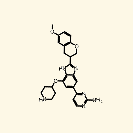 COc1ccc2c(c1)CC(c1nc3cc(-c4ccnc(N)n4)cc(OC4CCNCC4)c3[nH]1)CO2